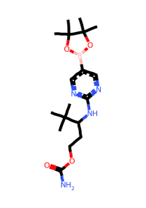 CC(C)(C)C(CCOC(N)=O)Nc1ncc(B2OC(C)(C)C(C)(C)O2)cn1